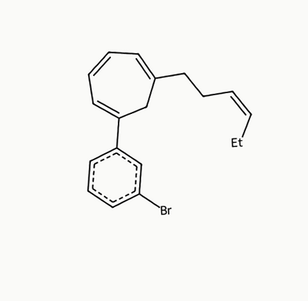 CC/C=C\CCC1=CC=CC=C(c2cccc(Br)c2)C1